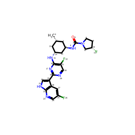 C[C@@H]1C[C@@H](NC(=O)N2CC[C@H](F)C2)C[C@H](Nc2nc(-c3c[nH]c4ncc(F)cc34)ncc2F)C1